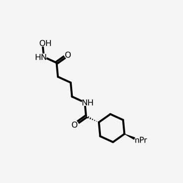 CCC[C@H]1CC[C@H](C(=O)NCCCC(=O)NO)CC1